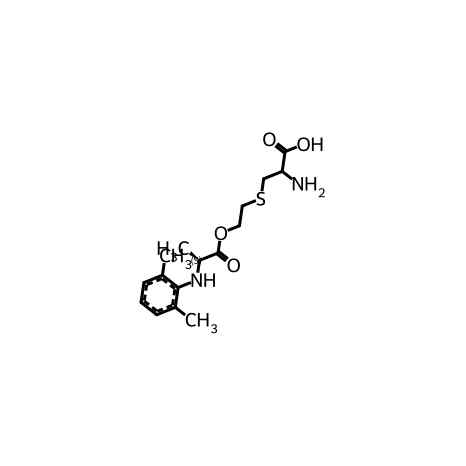 Cc1cccc(C)c1N[C@@H](C)C(=O)OCCSCC(N)C(=O)O